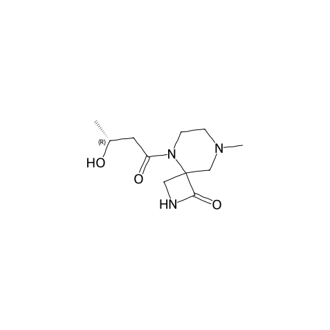 C[C@@H](O)CC(=O)N1CCN(C)CC12CNC2=O